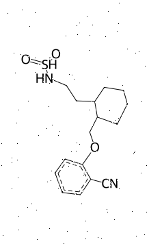 N#Cc1ccccc1OCC1CCCCC1CCN[SH](=O)=O